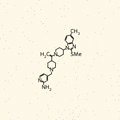 C=C(C1CCN(Cc2ccnc(N)c2)CC1)N1CCC(n2c(SC)nc3cc(C)ccc32)CC1